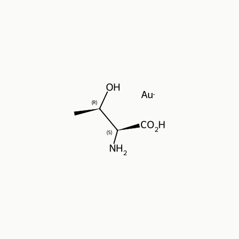 C[C@@H](O)[C@H](N)C(=O)O.[Au]